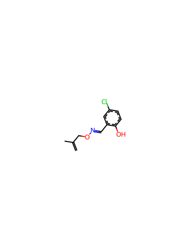 C=C(C)CON=Cc1cc(Cl)ccc1O